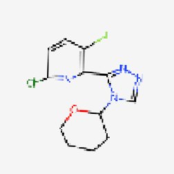 Fc1ccc(Cl)nc1-c1nncn1C1CCCCO1